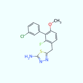 COc1ccc(Cc2nnc(N)s2)c(F)c1-c1cccc(Cl)c1